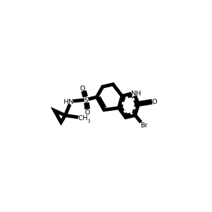 CC1(NS(=O)(=O)C2=Cc3cc(Br)c(=O)[nH]c3CC2)CC1